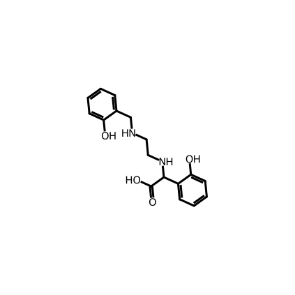 O=C(O)C(NCCNCc1ccccc1O)c1ccccc1O